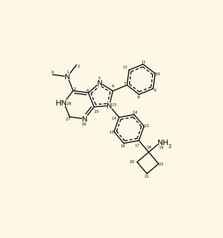 CN(C)C1=c2nc(-c3ccccc3)n(-c3ccc(C4(N)CCC4)cc3)c2=NCN1